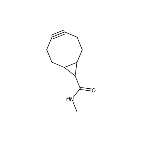 CNC(=O)C1C2CCC#CCCC21